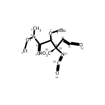 CCON(C)C(=O)C(OC(C)(C)C)[C@](C=C=O)(N=C=O)C(=O)O